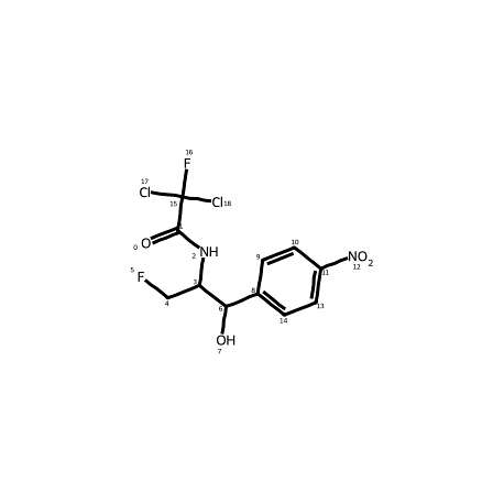 O=C(NC(CF)C(O)c1ccc([N+](=O)[O-])cc1)C(F)(Cl)Cl